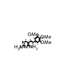 COc1cc(/C=C/c2cnc(N)nc2N)cc(OC)c1OC